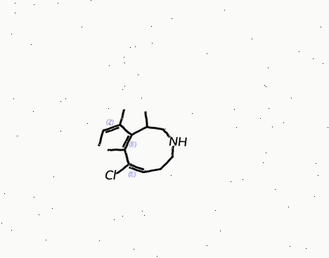 C\C=C(C)/C1=C(C)/C(Cl)=C\CCNCC1C